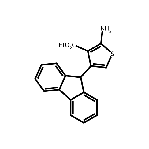 CCOC(=O)c1c(C2c3ccccc3-c3ccccc32)csc1N